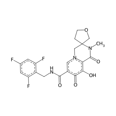 CN1C(=O)c2c(O)c(=O)c(C(=O)NCc3c(F)cc(F)cc3F)cn2CC12CCOC2